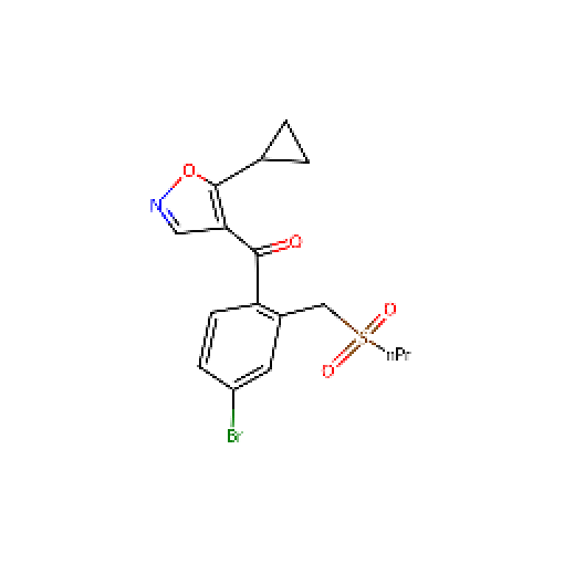 CCCS(=O)(=O)Cc1cc(Br)ccc1C(=O)c1cnoc1C1CC1